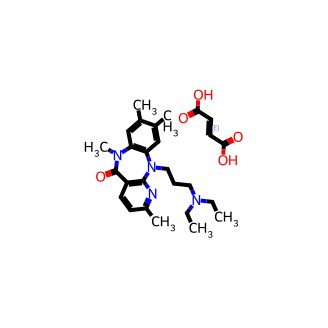 CCN(CC)CCCN1c2cc(C)c(C)cc2N(C)C(=O)c2ccc(C)nc21.O=C(O)/C=C/C(=O)O